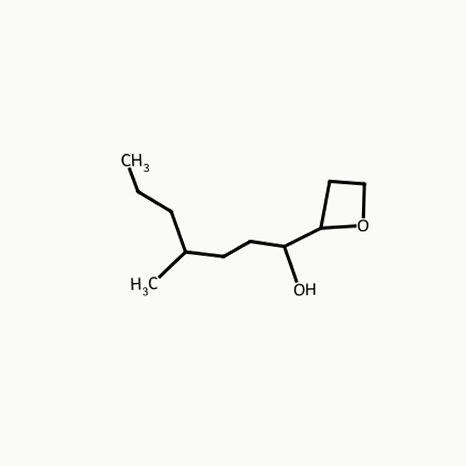 CCCC(C)CCC(O)C1CCO1